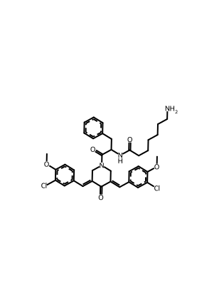 COc1ccc(C=C2CN(C(=O)C(Cc3ccccc3)NC(=O)CCCCCCN)CC(=Cc3ccc(OC)c(Cl)c3)C2=O)cc1Cl